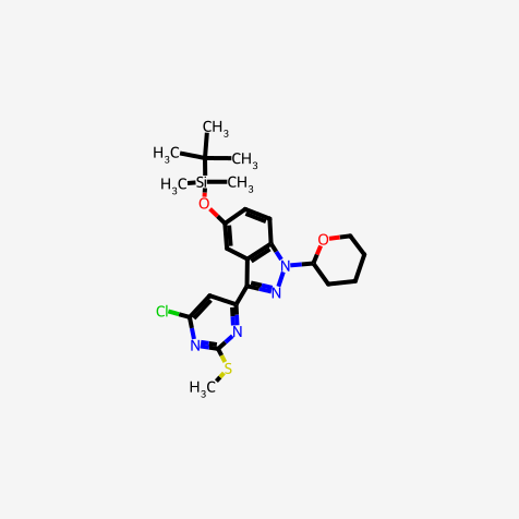 CSc1nc(Cl)cc(-c2nn(C3CCCCO3)c3ccc(O[Si](C)(C)C(C)(C)C)cc23)n1